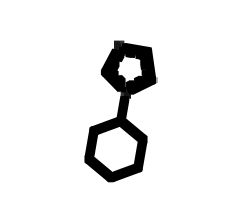 [c]1cncn1C1CCCCC1